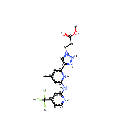 COC(=O)CCn1cc(-c2cc(C)cc(Nc3cc(C(F)(F)F)ccn3)n2)nn1